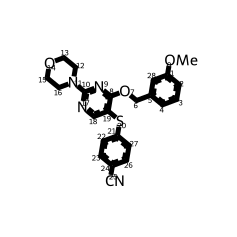 COc1cccc(COc2nc(N3CCOCC3)ncc2Sc2ccc(C#N)cc2)c1